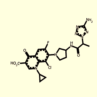 CC(C(=O)NC1CCN(c2c(F)cc3c(=O)c(C(=O)O)cn(C4CC4)c3c2Cl)C1)n1nnc(N)n1